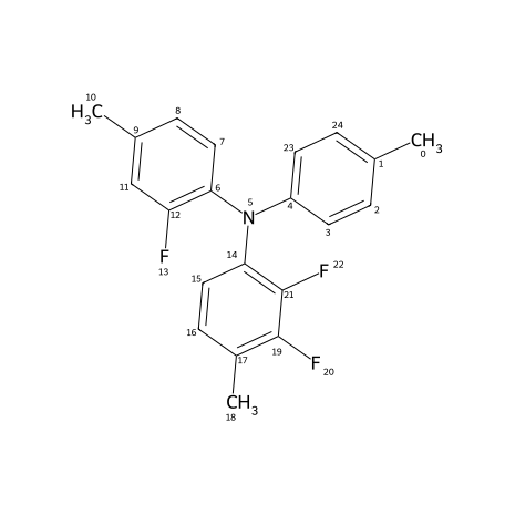 Cc1ccc(N(c2ccc(C)cc2F)c2ccc(C)c(F)c2F)cc1